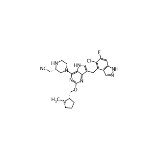 CN1CCC[C@H]1COc1nc(N2CCN[C@@H](CC#N)C2)c2[nH]cc(Cc3c(Cl)c(F)cc4[nH]ncc34)c2n1